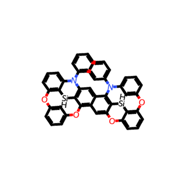 c1ccc(N2c3cccc4c3[SiH]3c5c(cccc5Oc5c3c2cc2c3c6c(cc52)Oc2cccc5c2[SiH]6c2c(cccc2N3c2ccccc2)O5)O4)cc1